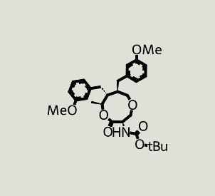 COc1cccc(C[C@H]2COC[C@H](NC(=O)OC(C)(C)C)C(=O)O[C@@H](C)[C@@H]2Cc2cccc(OC)c2)c1